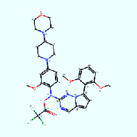 COc1cc(N2CCC(N3CCOCC3)CC2)ccc1N(OC(=O)C(F)(F)F)c1ncc2ccc(-c3c(OC)cccc3OC)n2n1